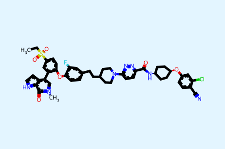 CCS(=O)(=O)c1ccc(Oc2ccc(CCC3CCN(c4ccc(C(=O)N[C@H]5CC[C@H](Oc6ccc(C#N)c(Cl)c6)CC5)nn4)CC3)cc2F)c(-c2cn(C)c(=O)c3[nH]ccc23)c1